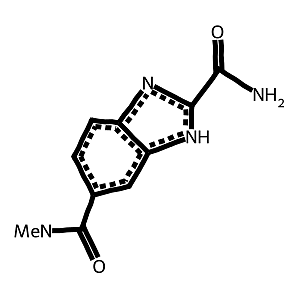 CNC(=O)c1ccc2nc(C(N)=O)[nH]c2c1